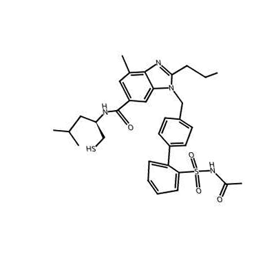 CCCc1nc2c(C)cc(C(=O)N[C@@H](CS)CC(C)C)cc2n1Cc1ccc(-c2ccccc2S(=O)(=O)NC(C)=O)cc1